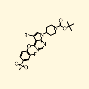 CC(C)(C)OC(=O)N1CCC(n2cc(Br)c3c(Oc4ccc(S(C)(=O)=O)cc4F)ncnc32)CC1